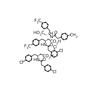 Cc1ccc(CC(=O)N[C@H](CC(=O)O)Cc2ccc(C(F)(F)F)cc2)cc1.O=C(O)C[C@H](Cc1ccc(C(F)(F)F)cc1)NC(=O)Cc1cccc(Cl)c1Cl.O=C(O)C[C@H](Cc1ccc(Cl)cc1)NC(=O)Cc1ccc(Cl)cc1